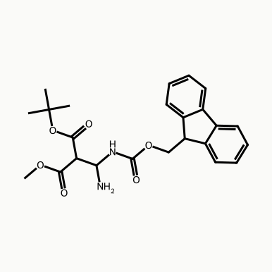 COC(=O)C(C(=O)OC(C)(C)C)C(N)NC(=O)OCC1c2ccccc2-c2ccccc21